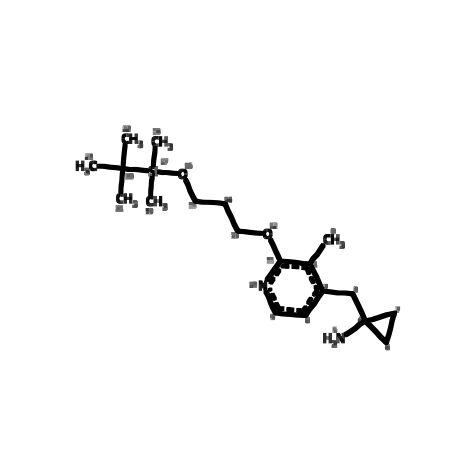 Cc1c(CC2(N)CC2)ccnc1OCCCO[Si](C)(C)C(C)(C)C